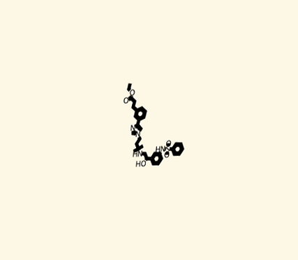 CCOC(=O)CCc1cccc(-c2cn(CCC(C)(C)NCC(O)c3cccc(NS(=O)(=O)c4ccccc4)c3)cn2)c1